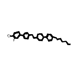 CCCCCCCc1ccc(C2CCC(CCc3ccc(-c4ccc(Cl)c(F)c4)cc3)CC2)cc1